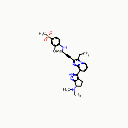 COc1cc(S(C)(=O)=O)ccc1NCC#Cc1nc2c(-c3[nH]nc4c3CC[C@H]4N(C)C)cccn2c1CC(F)(F)F